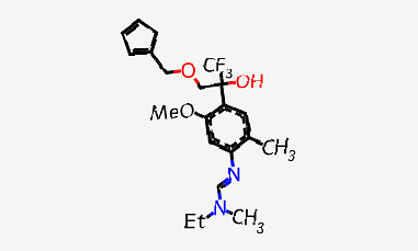 CCN(C)/C=N/c1cc(OC)c(C(O)(COCC2=CC=CC2)C(F)(F)F)cc1C